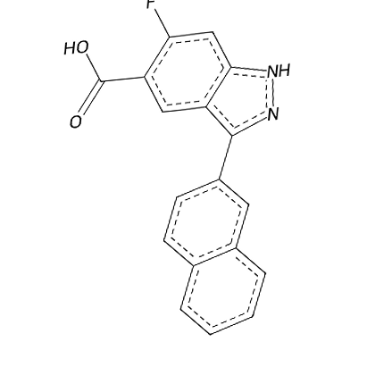 O=C(O)c1cc2c(-c3ccc4ccccc4c3)n[nH]c2cc1F